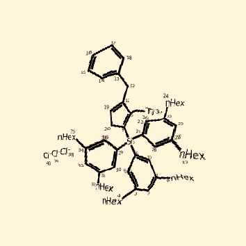 CCCCCCc1cc(CCCCCC)cc([Si](C2=[C]([Ti+3])C(Cc3ccccc3)=CC2)(c2cc(CCCCCC)cc(CCCCCC)c2)c2cc(CCCCCC)cc(CCCCCC)c2)c1.[Cl-].[Cl-].[Cl-]